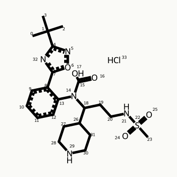 CC(C)(C)c1noc(-c2ccccc2N(C(=O)O)C(CCNS(C)(=O)=O)C2CCNCC2)n1.Cl